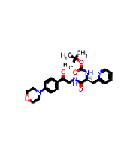 CC(C)(C)OC(=O)N[C@@H](Cc1ccccn1)C(=O)NCC(=O)c1ccc(N2CCOCC2)cc1